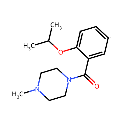 CC(C)Oc1cc[c]cc1C(=O)N1CCN(C)CC1